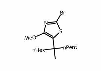 CCCCCCC(C)(CCCCC)c1sc(Br)nc1OC